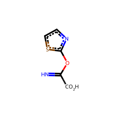 N=C(Oc1nccs1)C(=O)O